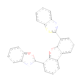 c1ccc2oc(-c3cccc4c3oc3c(-c5nc6ccccc6s5)cccc34)nc2c1